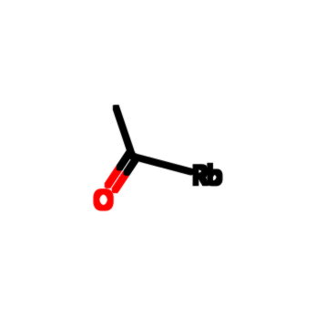 C[C](=O)[Rb]